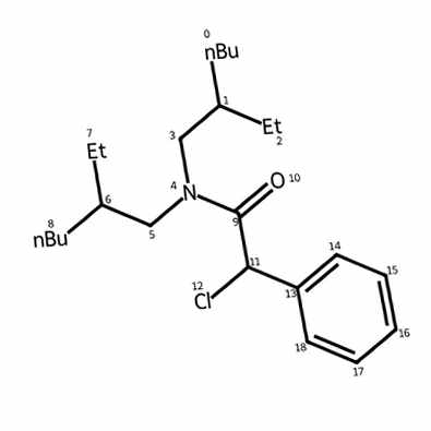 CCCCC(CC)CN(CC(CC)CCCC)C(=O)C(Cl)c1ccccc1